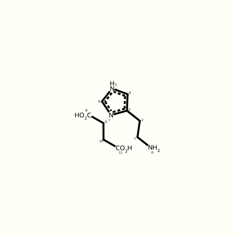 NCCc1c[nH]cn1.O=C(O)CCC(=O)O